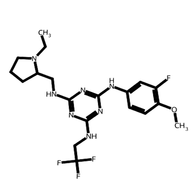 CCN1CCCC1CNc1nc(NCC(F)(F)F)nc(Nc2ccc(OC)c(F)c2)n1